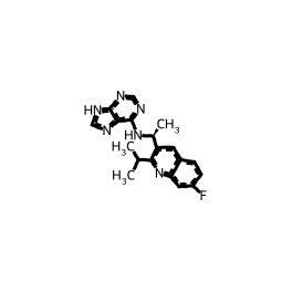 CC(C)c1nc2cc(F)ccc2cc1[C@H](C)Nc1ncnc2[nH]cnc12